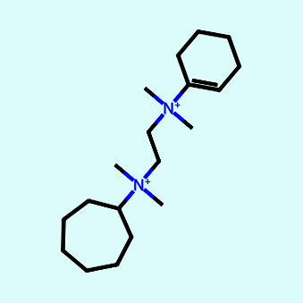 C[N+](C)(CC[N+](C)(C)C1CCCCCC1)C1=CCCCC1